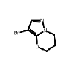 Brc1cnn2c1OCCC2